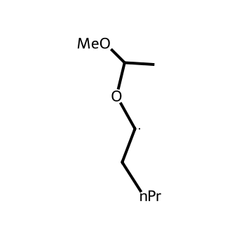 CCCC[CH]OC(C)OC